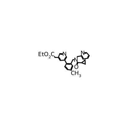 CCOC(=O)Cc1cncc(-c2ccc(C)cc2CN(Cc2ccccn2)C(=O)C2CC2)c1